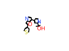 CC(C)(O)c1cc(-c2ccnc3cc(C4=CCSCC4)oc23)ccn1